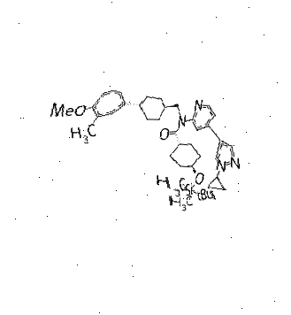 COc1ccc([C@H]2CC[C@H](CN(c3cc(-c4cnn(C5CC5)c4)ccn3)C(=O)[C@H]3CC[C@H](O[Si](C)(C)C(C)(C)C)CC3)CC2)cc1C